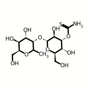 CC1O[C@@H](CO)[C@@H](O)[C@H](O)[C@@H]1O[C@H]1O[C@H](CO)[C@@H](O)[C@@H](OC(N)=S)[C@@H]1O